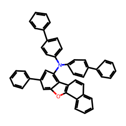 c1ccc(-c2ccc(N(c3ccc(-c4ccccc4)cc3)c3cc(-c4ccccc4)cc4oc5c6ccccc6ccc5c34)cc2)cc1